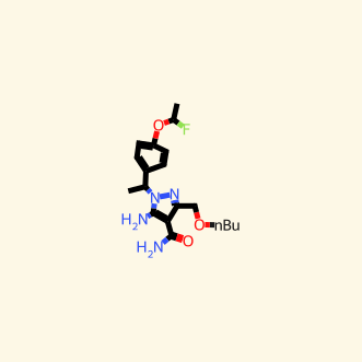 CCCCOCc1nn(C(C)c2ccc(OC(C)F)cc2)c(N)c1C(N)=O